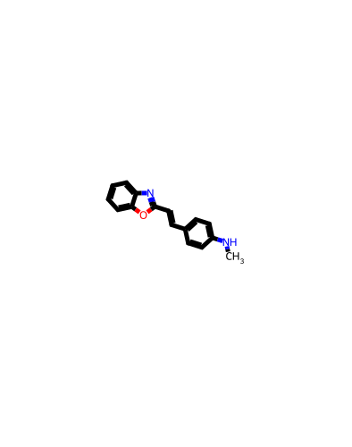 CNc1ccc(C=Cc2nc3ccccc3o2)cc1